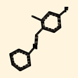 Cc1cc(F)ccc1C=Nc1ccccc1